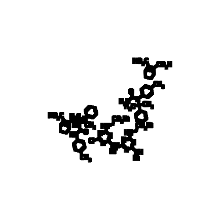 CCNc1nc(Cl)nc(NCC(=O)OCC)n1.CCNc1nc(Cl)nc(NCC(=O)OCC)n1.Cc1ccc(N(C(N)=O)C(C)(C)c2ccccc2)cc1.Cc1ccc(NC(=O)NC(C)(C)c2ccccc2)cc1.O=C(O)C1C2CCC(O2)C1C(=O)O.O=C(O)C1C2CCC(O2)C1C(=O)O